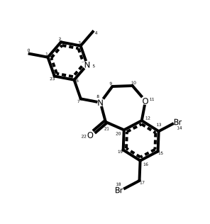 Cc1cc(C)nc(CN2CCOc3c(Br)cc(CBr)cc3C2=O)c1